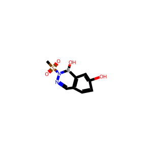 CS(=O)(=O)N1N=Cc2ccc(O)cc2B1O